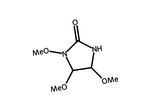 COC1NC(=O)N(OC)C1OC